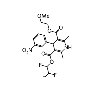 COCCOC(=O)C1=C(C)NC(C)=C(C(=O)OC(F)C(F)F)C1c1cccc([N+](=O)[O-])c1